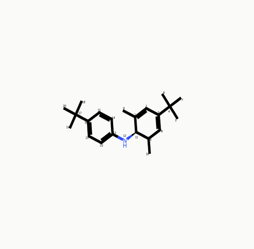 CC1=CC(C(C)(C)C)=CC(C)[C@H]1Nc1ccc(C(C)(C)C)cc1